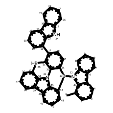 Cc1cccc2c3ccccc3n(B3c4ccc(-c5cccc6c5[nH]c5ccccc56)c5c4-n4c6c(cccc6c6cccc3c64)B5)c12